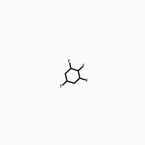 FC1CC(F)C(F)C(F)C1